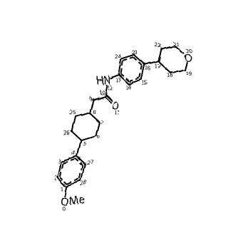 COc1ccc(C2CCC(CC(=O)Nc3ccc(C4CCOCC4)cc3)CC2)cc1